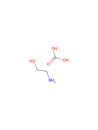 NCCO.O=C(O)O